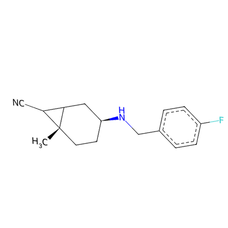 C[C@]12CC[C@H](NCc3ccc(F)cc3)CC1C2C#N